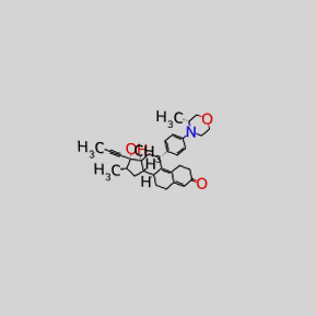 CC#C[C@]1(O)[C@H](C)C[C@H]2[C@@H]3CCC4=CC(=O)CCC4=C3[C@@H](c3ccc(N4CCOC[C@H]4C)cc3)C[C@@]21C